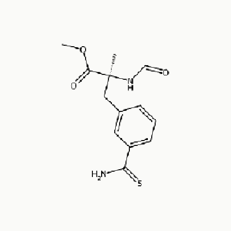 COC(=O)[C@](C)(Cc1cccc(C(N)=S)c1)NC=O